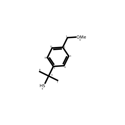 COCc1ccc(C(C)(C)S)cc1